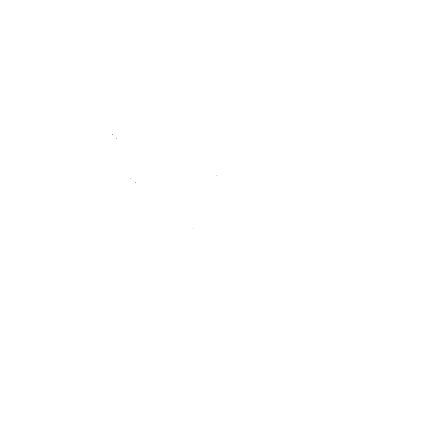 CCOC(=O)C(C(=O)OCC)c1ncncc1F